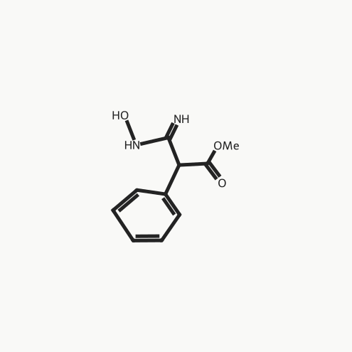 COC(=O)C(C(=N)NO)c1ccccc1